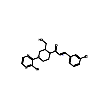 N#Cc1nccnc1N1CCN(C(=O)/C=C/c2cccc(Cl)c2)C(CO)C1